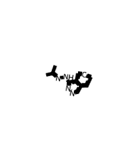 CC(C)=NNc1nncc2ccccc12